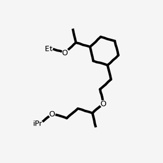 CCOC(C)C1CCCC(CCOC(C)CCOC(C)C)C1